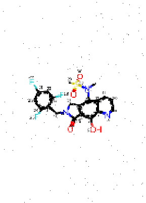 CN(c1c2c(c(O)c3ncccc13)C(=O)N(Cc1c(F)cc(F)cc1F)C2)S(C)(=O)=O